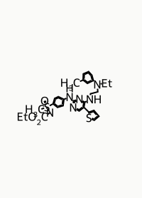 CCOC(=O)N=S(C)(=O)c1ccc(Nc2ncc(-c3cccs3)c(NCCN(CC)c3cccc(C)c3)n2)cc1